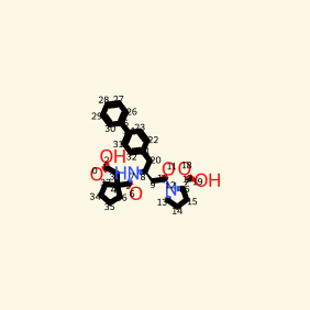 O=C(O)CC1(C(=O)N[C@H](CC(=O)N2CCC[C@H]2C(=O)O)Cc2ccc(-c3ccccc3)cc2)CCCC1